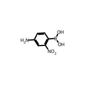 Nc1ccc(B(O)O)c([N+](=O)[O-])c1